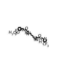 CC(F)(F)Oc1cccc(CNC(=O)c2cn(CCCCn3cc(C(=O)NCc4cc(C(F)(F)F)ccn4)nn3)nn2)c1